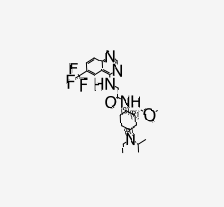 CCN(C(C)C)[C@@H]1CC[C@H](NC(=O)CNc2ncnc3ccc(C(F)(F)F)cc23)[C@H](COC)C1